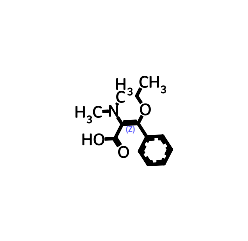 CCO/C(=C(/C(=O)O)N(C)C)c1ccccc1